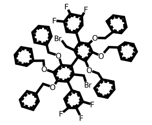 Fc1cc(-c2c(CBr)c(-c3c(CBr)c(-c4cc(F)c(F)c(F)c4)c(OCc4ccccc4)c(OCc4ccccc4)c3OCc3ccccc3)c(OCc3ccccc3)c(OCc3ccccc3)c2OCc2ccccc2)cc(F)c1F